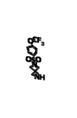 O=S(=O)(c1ccc(OC(F)(F)F)cc1)N1CC2(CNC2)C1